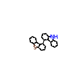 c1ccc2c(c1)[nH]c1cccc(-c3cccc4sc5ccccc5c34)c12